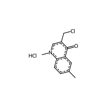 Cc1ccc2c(c1)c(=O)c(CCl)cn2C.Cl